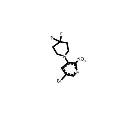 O=[N+]([O-])c1ncc(Br)cc1N1CCC(F)(F)CC1